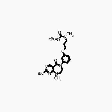 CCC(C)c1ncc2c(n1)N(C)CCN(c1cccc(OCCCN(C)C(=O)OC(C)(C)C)c1)C2=O